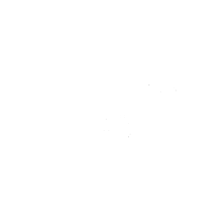 COC(=O)c1cccc(C(=O)OC(=O)CC#Cc2ccccc2)c1